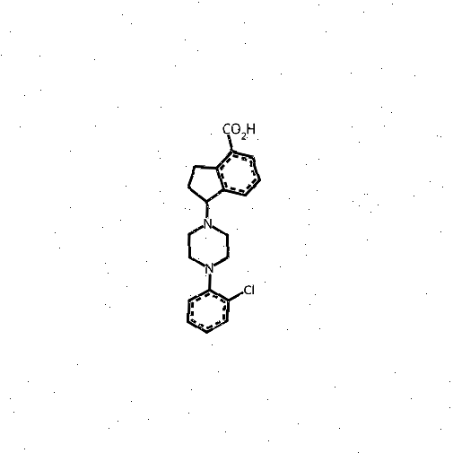 O=C(O)c1cccc2c1CCC2N1CCN(c2ccccc2Cl)CC1